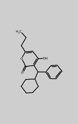 CCCc1cc(O)c(C(c2ccccc2)C2CCCCC2)c(=O)o1